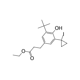 CCOC(=O)CCc1cc(C(C)(C)C)c(O)c(C2(I)CC2)c1